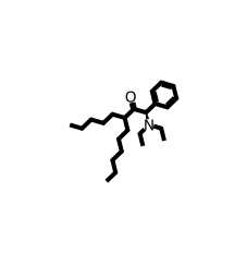 CCCCCCC(CCCCC)C(=O)[C@@H](c1ccccc1)N(CC)CC